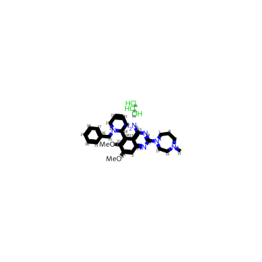 COc1cc2nc(N3CCCN(C)CC3)nc(N)c2c(C2CC#CCN2Cc2ccccc2)c1OC.Cl.Cl.Cl